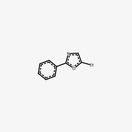 CCc1cnc(-c2ccccc2)o1